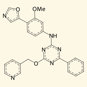 COc1cc(Nc2nc(OCc3cccnc3)nc(-c3ccccc3)n2)ccc1-c1cnco1